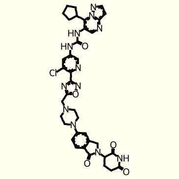 O=C1CCC(N2Cc3cc(N4CCN(Cc5nc(-c6ncc(NC(=O)Nc7cnc8ccnn8c7C7CCCC7)cc6Cl)no5)CC4)ccc3C2=O)C(=O)N1